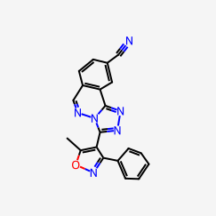 Cc1onc(-c2ccccc2)c1-c1nnc2c3cc(C#N)ccc3cnn12